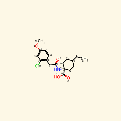 CCC1CCC(NC(=O)Cc2ccc(OC)cc2Cl)(C(=O)O)CC1